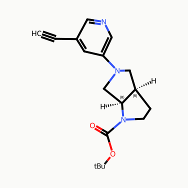 C#Cc1cncc(N2C[C@H]3CCN(C(=O)OC(C)(C)C)[C@H]3C2)c1